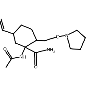 C=CC1CCC(CCN2CCCC2)C(NC(C)=O)(C(N)=O)C1